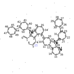 C=Cc1c(/C=C\C)c2c(-c3ccc4c5cccnc5n(-c5cccc(-c6ccccc6)c5)c4c3)cccc2n1-c1cccc(-c2ccccc2)c1